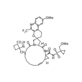 COCC1(S(=O)(=O)NC(=O)[C@@]23C[C@H]2/C=C\CCCCC[C@H](N(C(=O)O)C2(C)CCC2)C(=O)N2C[C@@]4(CCc5c(c(C(F)(F)F)nc6ccc(OC)cc56)O4)C[C@H]2C(=O)N3)CC1